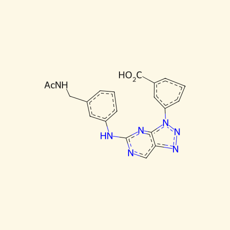 CC(=O)NCc1cccc(Nc2ncc3nnn(-c4cccc(C(=O)O)c4)c3n2)c1